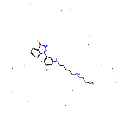 CSCCNCCCCCNc1cccc(-c2n[nH]c(=O)c3ccccc23)c1.Cl